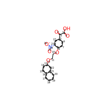 O=C(O)C(=O)c1ccc(OCCOc2ccc3ccccc3c2)c([N+](=O)[O-])c1